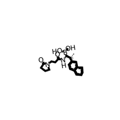 C[C@H](c1ccc2ccccc2c1)[C@H](NC(=O)CCN1CCCC1=O)B(O)O